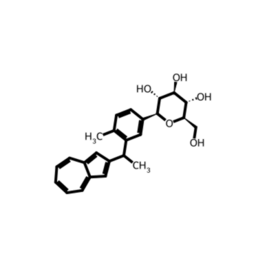 Cc1ccc([C@@H]2O[C@H](CO)[C@@H](O)[C@H](O)[C@H]2O)cc1C(C)c1cc2cccccc-2c1